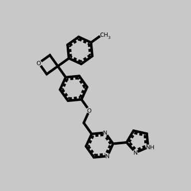 Cc1ccc(C2(c3ccc(OCc4ccnc(-c5cc[nH]n5)n4)cc3)COC2)cc1